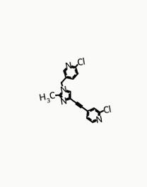 Cc1nc(C#Cc2ccnc(Cl)c2)cn1Cc1ccc(Cl)nc1